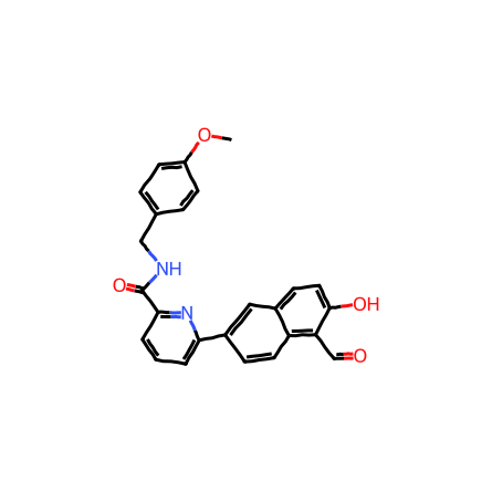 COc1ccc(CNC(=O)c2cccc(-c3ccc4c(C=O)c(O)ccc4c3)n2)cc1